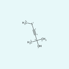 CSC#CC(C)(C)O